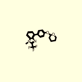 Cn1c(C(F)(F)F)nc2c(-c3ccc(OC4CCCCO4)cc3)cccc21